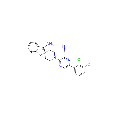 Cc1nc(N2CCC3(CC2)Cc2ncccc2[C@H]3N)c(C#N)nc1-c1cccc(Cl)c1Cl